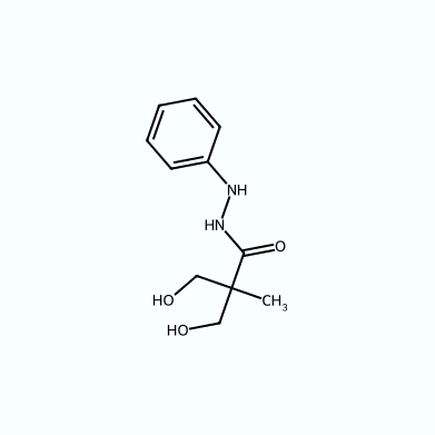 CC(CO)(CO)C(=O)NNc1ccccc1